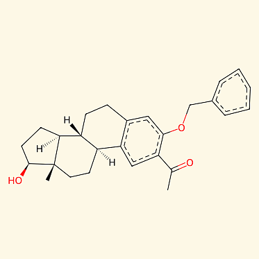 CC(=O)c1cc2c(cc1OCc1ccccc1)CC[C@@H]1[C@@H]2CC[C@]2(C)[C@@H](O)CC[C@@H]12